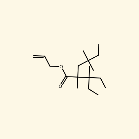 C=CCOC(=O)C(C)(CC(C)(C)CC)C(C)(CC)CC